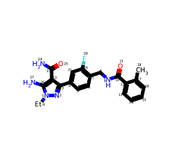 CCn1nc(-c2ccc(CNC(=O)c3ccccc3C)c(F)c2)c(C(N)=O)c1N